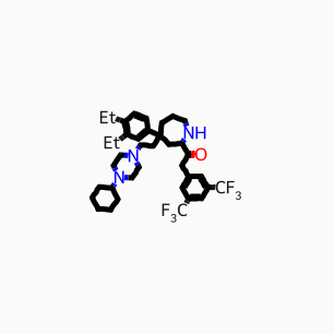 CCc1ccc(C2(CCN3CCN(C4CCCCC4)CC3)CCCNC(C(=O)Cc3cc(C(F)(F)F)cc(C(F)(F)F)c3)C2)cc1CC